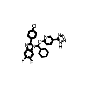 Fc1cc2nc(-c3ccc(Cl)cc3)n(C(Oc3ccc(-c4nnn[nH]4)cn3)C3CCCCC3)c2cc1F